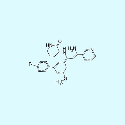 COC1=CC(c2ccc(F)cc2)=C/C(=C(/C=C(\N)c2cccnc2)NC2CCCNC2=O)C1